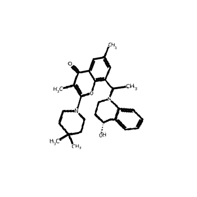 Cc1cc(C(C)N2CC[C@@H](O)c3ccccc32)c2oc(N3CCC(C)(C)CC3)c(C)c(=O)c2c1